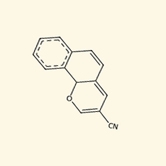 N#CC1=COC2C(=C1)C=Cc1ccccc12